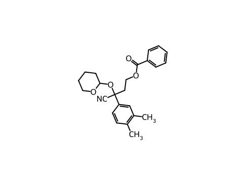 Cc1ccc(C(C#N)(CCOC(=O)c2ccccc2)OC2CCCCO2)cc1C